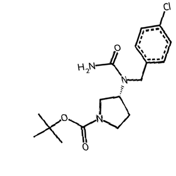 CC(C)(C)OC(=O)N1CC[C@@H](N(Cc2ccc(Cl)cc2)C(N)=O)C1